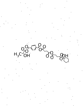 CC(O)C(=O)OC(=O)c1ccc(C(=O)OC(=O)CCC(=O)OC(=O)CCC(=O)OC2(O)CCCCC2)cc1